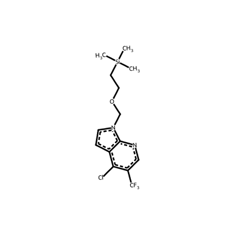 C[Si](C)(C)CCOCn1ccc2c(Cl)c(C(F)(F)F)cnc21